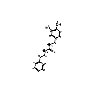 Oc1ccc(CNC(=S)NCCc2ccccc2)cc1O